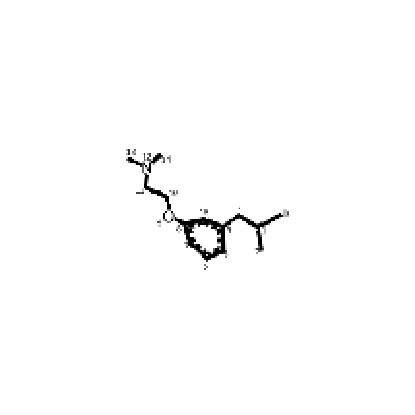 CC(C)Cc1cccc(OCCN(C)C)c1